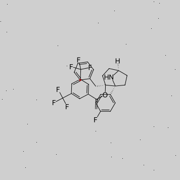 C=C(O[C@@]1(Cc2ccccc2)CC[C@H]2CC[C@]1(c1ccc(F)cc1)N2)c1cc(C(F)(F)F)cc(C(F)(F)F)c1